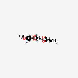 C/C=C/[C@H]1CO[C@H](CC[C@H]2CO[C@H](c3ccc(OC(F)(F)F)c(F)c3)OC2)OC1